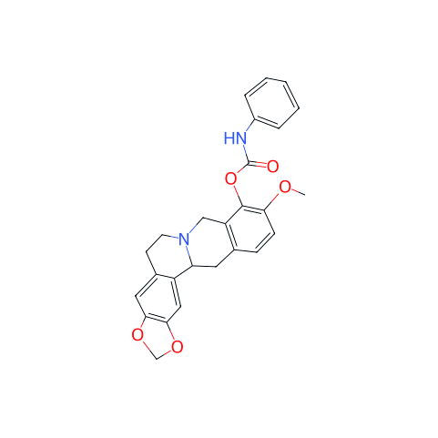 COc1ccc2c(c1OC(=O)Nc1ccccc1)CN1CCc3cc4c(cc3C1C2)OCO4